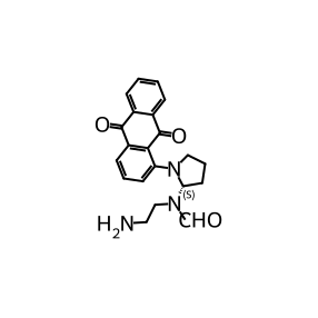 NCCN(C=O)[C@H]1CCCN1c1cccc2c1C(=O)c1ccccc1C2=O